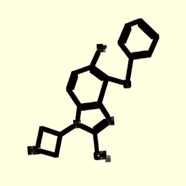 Cc1nc2c(Oc3ccccc3)c(Br)ccc2n1C1CNC1